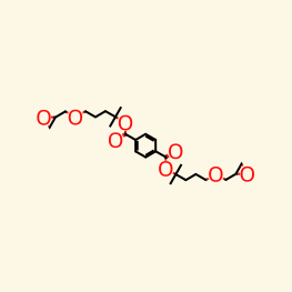 CC(C)(CCCOCC1CO1)OC(=O)c1ccc(C(=O)OC(C)(C)CCCOCC2CO2)cc1